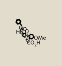 COC1CC[C@H](N2CC[C@H](NC(=O)OCc3ccccc3)C2=O)[C@@H](N(C)C(=O)O)C1